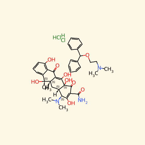 CN(C)CCOC(c1ccccc1)c1ccccc1.CN(C)[C@@H]1C(O)=C(C(N)=O)C(=O)[C@@]2(O)C(O)=C3C(=O)c4c(O)cccc4[C@@](C)(O)[C@H]3C[C@@H]12.Cl.Cl